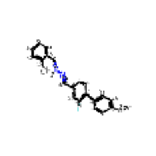 CCCc1ccc(-c2ccc(C=NN=Cc3ccccc3C)cc2F)cc1